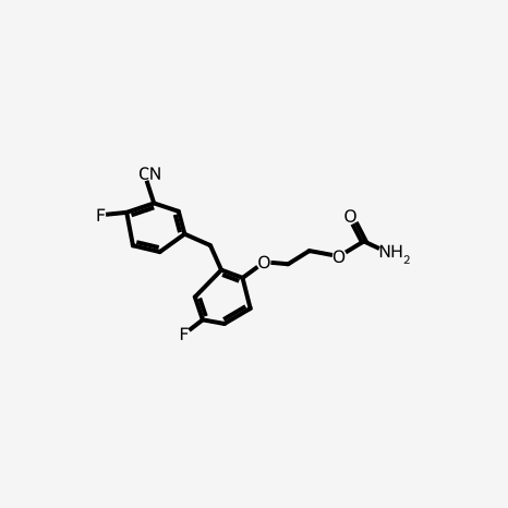 N#Cc1cc(Cc2cc(F)ccc2OCCOC(N)=O)ccc1F